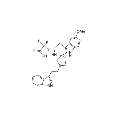 COc1ccc2[nH]c3c(c2c1)CCNC31CCN(CCc2c[nH]c3ccccc23)C1.O=C(O)C(F)(F)F